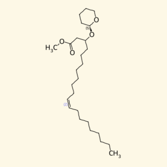 CCCCCCCC/C=C\CCCCCCCC(CC(=O)OC)O[C@H]1CCCCO1